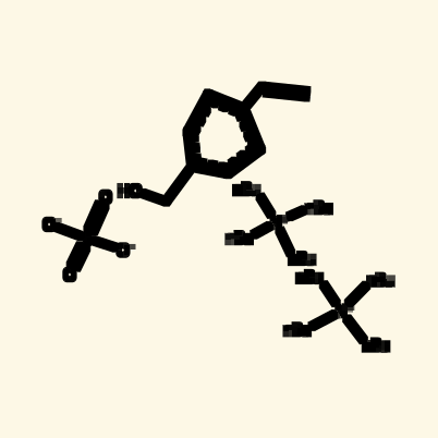 C=Cc1ccc(CO)cc1.CCCC[N+](CCCC)(CCCC)CCCC.CCCC[N+](CCCC)(CCCC)CCCC.O=S(=O)([O-])[O-]